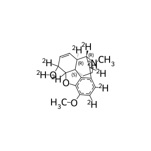 [2H]OC1([2H])C=C[C@]2([2H])[C@@]34CCN(C)[C@]2([2H])C([2H])([2H])c2c([2H])c([2H])c(OC)c(c23)OC14[2H]